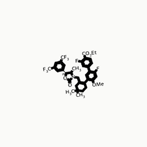 CCOC(=O)c1ccc(-c2cc(C3=C(CN4C(=O)O[C@H](c5cc(C(F)(F)F)cc(C(F)(F)F)c5)C4C)CC(C)(C)CC3)c(OC)cc2F)cc1F